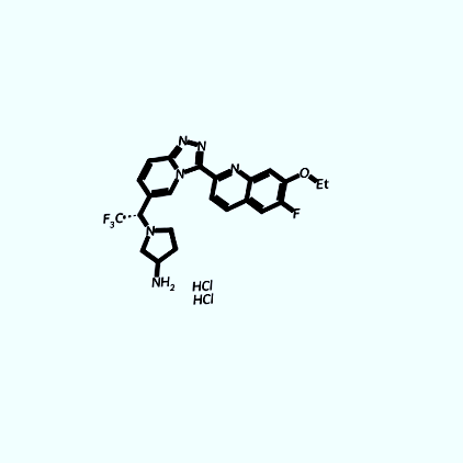 CCOc1cc2nc(-c3nnc4ccc([C@H](N5CCC(N)C5)C(F)(F)F)cn34)ccc2cc1F.Cl.Cl